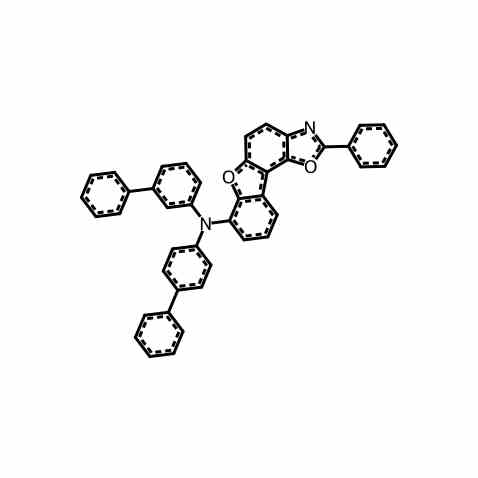 c1ccc(-c2ccc(N(c3cccc(-c4ccccc4)c3)c3cccc4c3oc3ccc5nc(-c6ccccc6)oc5c34)cc2)cc1